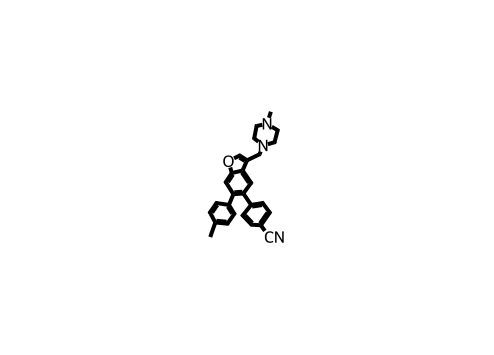 Cc1ccc(-c2cc3occ(CN4CCN(C)CC4)c3cc2-c2ccc(C#N)cc2)cc1